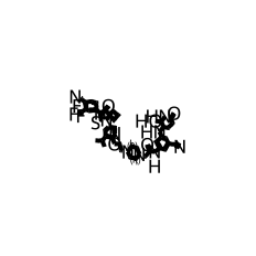 CC(C)c1cc(N2C(=S)N(c3ccc(C#N)c(C(F)(F)F)c3)C(=O)C23CCC3)cnc1OCCN1C[C@@H](C)N(CC(=O)Nc2cc(C#N)cc(NC3CCC(=O)NC3O)c2)C[C@H]1C